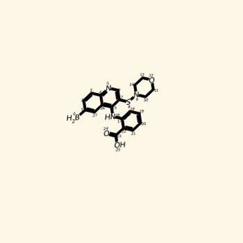 Bc1ccc2ncc(SN3CCOCC3)c(Nc3ccccc3C(=O)O)c2c1